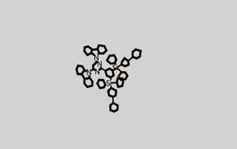 c1ccc(-c2ccc([Si](c3ccccc3)(c3ccccc3)c3cc(-c4nc(-n5c6ccccc6c6ccccc65)cc(-n5c6ccccc6c6ccccc65)n4)cc([Si](c4ccccc4)(c4ccccc4)c4ccc(-c5ccccc5)cc4)c3)cc2)cc1